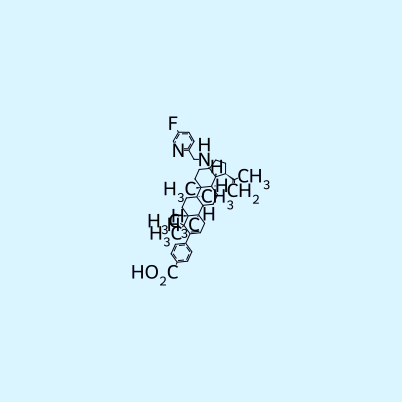 C=C(C)[C@@H]1CC[C@]2(NCc3ccc(F)cn3)CC[C@]3(C)[C@H](CC[C@@H]4[C@@]5(C)CC=C(c6ccc(C(=O)O)cc6)C(C)(C)[C@@H]5CC[C@]43C)[C@@H]12